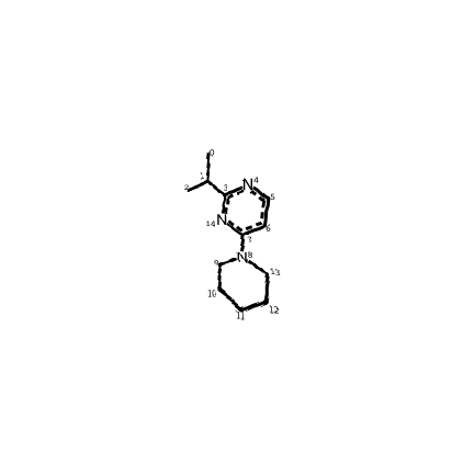 CC(C)c1nccc(N2CCCCC2)n1